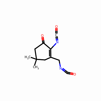 CC1(C)CC(=O)C(N=C=O)=C(CN=C=O)C1